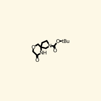 CC(C)(C)OC(=O)N1CCC2(COCC(=O)N2)C1